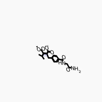 COC(=O)/C(Cc1ccc(C(=O)NCC(N)=O)cc1)=C(\C(=O)OC)C(C)C